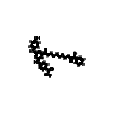 CN(C)C(=O)c1ccc(Nc2nc(NCCOCCOCCNC(=O)c3ccccc3)nc(Nc3ccc(O)cc3)n2)cc1